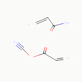 C=CC(=O)OC#N.C=CC(N)=O